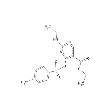 CCNc1ncc(C(=O)OCC)c(OS(=O)(=O)c2ccc(C)cc2)n1